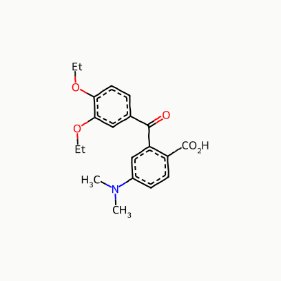 CCOc1ccc(C(=O)c2cc(N(C)C)ccc2C(=O)O)cc1OCC